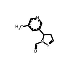 Cc1cncc(C2CC=NN2C=O)c1